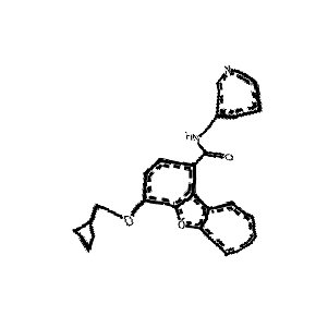 O=C(Nc1cccnc1)c1ccc(OCC2CC2)c2oc3ccccc3c12